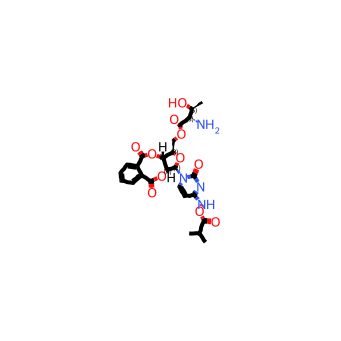 CC(C)C(=O)ONc1ccn([C@@H]2O[C@H](COC(=O)[C@@H](N)[C@H](C)O)[C@H]3OC(=O)c4ccccc4C(=O)O[C@H]32)c(=O)n1